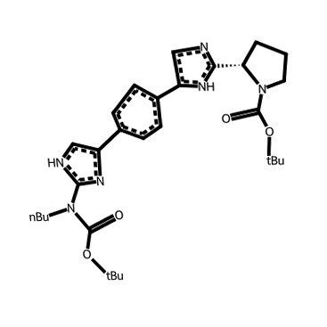 CCCCN(C(=O)OC(C)(C)C)c1nc(-c2ccc(-c3cnc([C@@H]4CCCN4C(=O)OC(C)(C)C)[nH]3)cc2)c[nH]1